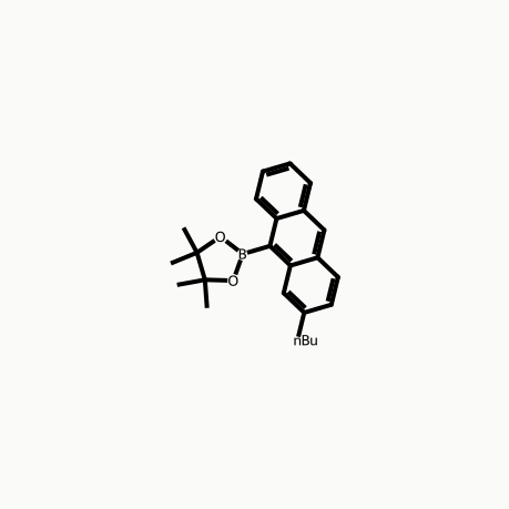 CCCCc1ccc2cc3ccccc3c(B3OC(C)(C)C(C)(C)O3)c2c1